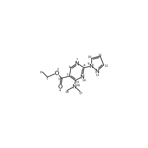 CCOC(=O)c1cnc(-n2cccn2)nc1N(C)C